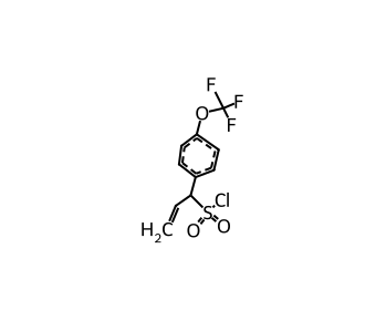 C=CC(c1ccc(OC(F)(F)F)cc1)S(=O)(=O)Cl